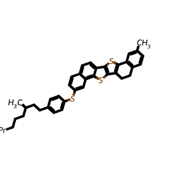 Cc1ccc2c(c1)-c1sc3c(sc4c5cc(Sc6ccc(CCC(C)CCCC(C)C)cc6)ccc5ccc34)c1CC2